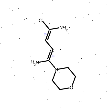 N/C(Cl)=C\C=C(/N)N1CCOCC1